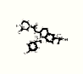 CC(O)(c1ccc2c(c1)CCC(CC(=O)N1CCNC(=O)C1)N2S(=O)(=O)c1ccc(F)cc1)C(F)(F)F